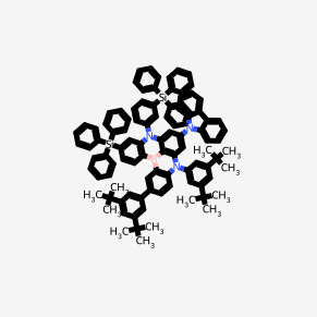 CC(C)(C)c1cc(-c2ccc3c(c2)B2c4ccc([Si](c5ccccc5)(c5ccccc5)c5ccccc5)cc4N(c4cccc([Si](c5ccccc5)(c5ccccc5)c5ccccc5)c4)c4cc(-n5c6ccccc6c6ccccc65)cc(c42)N3c2cc(C(C)(C)C)cc(C(C)(C)C)c2)cc(C(C)(C)C)c1